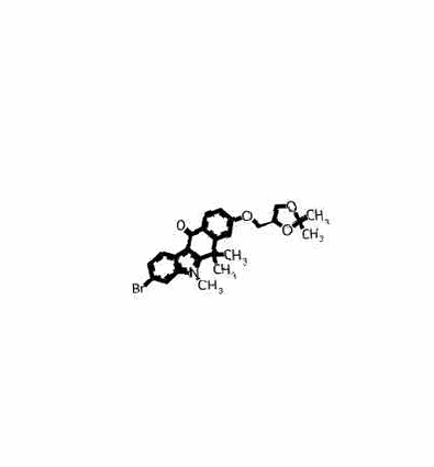 Cn1c2c(c3ccc(Br)cc31)C(=O)c1ccc(OC[C@H]3COC(C)(C)O3)cc1C2(C)C